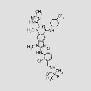 Cc1n[nH]c(CN(C)c2cc3c(cc2C(=O)N[C@H]2CC[C@H](C(F)(F)F)CC2)nc(Nc2c(Cl)ccc(CNC(=O)C(C)(C)F)c2Cl)n3C)n1